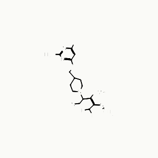 C=N/C(=C(\SC)C(CN=O)N1CCC(COc2cc(F)nc(C)n2)CC1)C(F)F